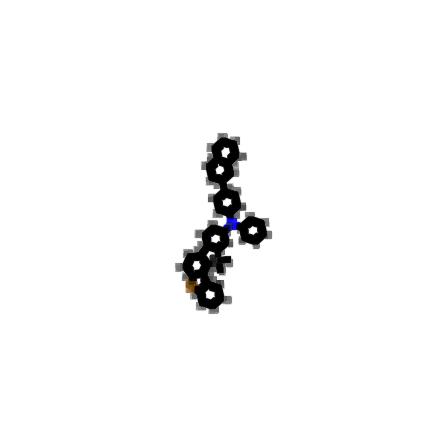 C[Si]1(C)c2cc(N(c3ccccc3)c3ccc(-c4ccc5ccccc5c4)cc3)ccc2-c2ccc3sc4ccccc4c3c21